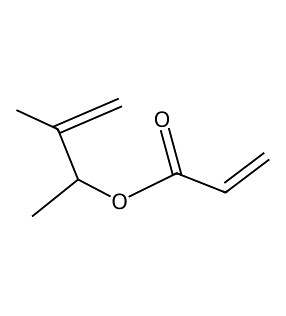 C=CC(=O)OC(C)C(=C)C